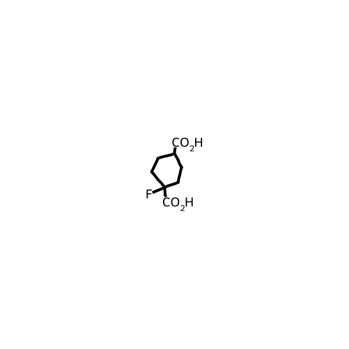 O=C(O)C1CCC(F)(C(=O)O)CC1